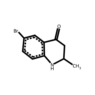 CC1CC(=O)c2cc(Br)ccc2N1